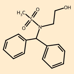 CS(=O)(=O)N(CCO)C(c1ccccc1)c1ccccc1